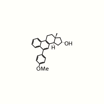 COc1ccc(-c2cc3c(c4ccccc24)CC[C@]2(C)C[C@H](O)C[C@@H]32)cc1